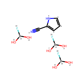 N#Cc1ccc[nH]1.OB(O)F.OB(O)F.OB(O)F